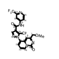 COCc1cc2c(-n3ncc(C(=O)Nc4ccnc(C(F)(F)F)c4)c3C(F)(F)F)cccn2c(=O)n1